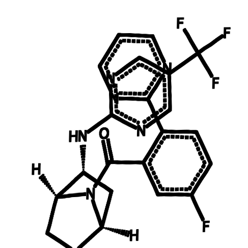 O=C(c1cc(F)ccc1-c1ncccn1)N1[C@@H]2CC[C@H]1[C@H](Nc1ncc(C(F)(F)F)cn1)C2